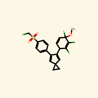 COC1(F)C=CC(C2=CC3(C=C2c2ccc(S(=O)(=O)CF)cc2)CC3)C(F)=C1F